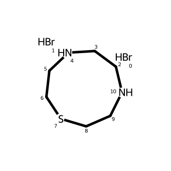 Br.Br.C1CNCCSCCN1